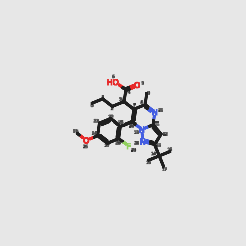 CCCC(C(=O)O)c1c(C)nc2cc(C(C)(C)C)nn2c1-c1ccc(OC)cc1F